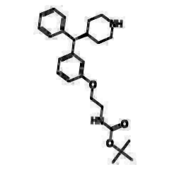 CC(C)(C)OC(=O)NCCOc1cccc([C@@H](c2ccccc2)C2CCNCC2)c1